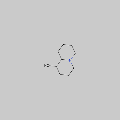 N#CC1CCCN2CCCCC12